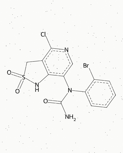 NC(=O)N(c1ccccc1Br)c1cnc(Cl)c2c1NS(=O)(=O)C2